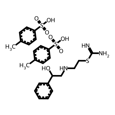 Cc1ccc(S(=O)(=O)O)cc1.Cc1ccc(S(=O)(=O)O)cc1.N=C(N)SCCNCC(O)c1ccccc1